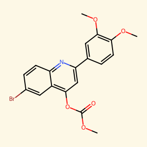 COC(=O)Oc1cc(-c2ccc(OC)c(OC)c2)nc2ccc(Br)cc12